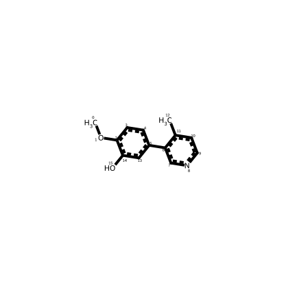 COc1ccc(-c2cnccc2C)cc1O